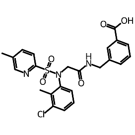 Cc1ccc(S(=O)(=O)N(CC(=O)NCc2cccc(C(=O)O)c2)c2cccc(Cl)c2C)nc1